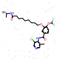 Cc1cncc(Cl)c1NC(=O)c1ccc(OC(F)F)c(OCCCCCCCCC(=O)NC(C)C(C)(C)C)c1